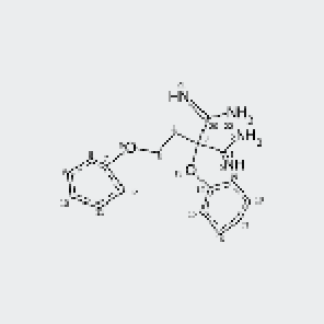 N=C(N)C(CCOc1ccccc1)(Oc1ccccc1)C(=N)N